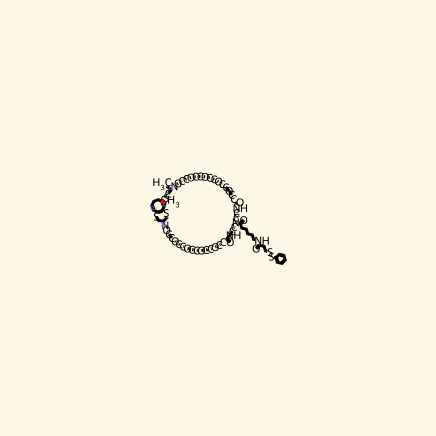 CC/C1=N/OCCOCCOCCOCCOCCC(=O)NCCN(C(=O)CCCCCNC(=O)CCSSc2ccccc2)CCNC(=O)CCOCCOCCOCCOCCO/N=C2\CSC3=C(SC2)C(=C(/C)CC/C=C\3)/SC1